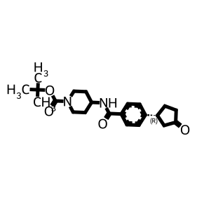 CC(C)(C)OC(=O)N1CCC(NC(=O)c2ccc([C@@H]3CCC(=O)C3)cc2)CC1